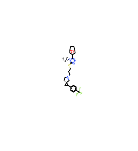 Cn1c(SCCCN2CC[C@]3(CC3c3ccc(C(F)(F)F)cc3)C2)nnc1C1CC2CCC(C1)O2